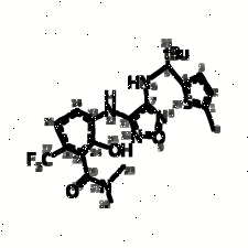 Cc1ccc([C@H](Nc2nonc2Nc2ccc(C(F)(F)F)c(C(=O)N(C)C)c2O)C(C)(C)C)s1